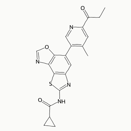 CCC(=O)c1cc(C)c(-c2cc3nc(NC(=O)C4CC4)sc3c3ncoc23)cn1